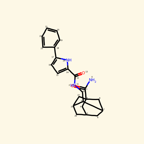 NC(=O)C12CC3CC(C1)C(CNC(=O)c1ccc(-c4ccccc4)[nH]1)C(C3)C2